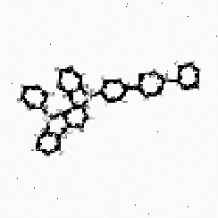 c1ccc(-c2ccc(-c3ccc(-n4c5ccccc5c5c4ccc4c6ccccc6n(-c6ccccc6)c45)cc3)cc2)cc1